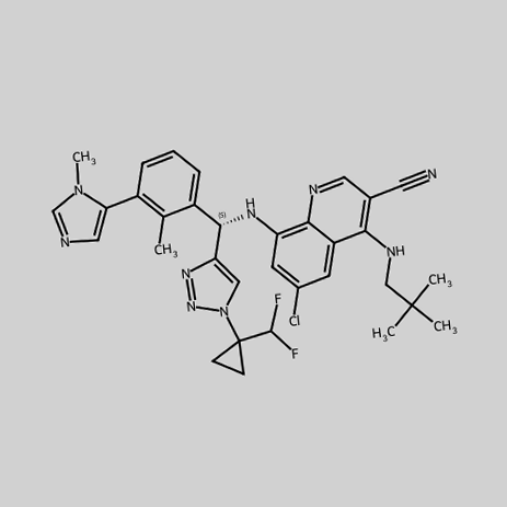 Cc1c(-c2cncn2C)cccc1[C@H](Nc1cc(Cl)cc2c(NCC(C)(C)C)c(C#N)cnc12)c1cn(C2(C(F)F)CC2)nn1